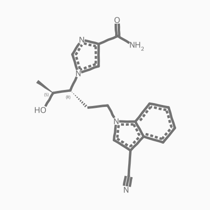 C[C@H](O)[C@@H](CCn1cc(C#N)c2ccccc21)n1cnc(C(N)=O)c1